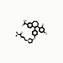 CN(C)C(=O)C=CCN1CC[C@H](Oc2ccc(C3=C(c4ccc(Cl)cc4Cl)CCCc4cc(C(=O)O)ccc43)cc2)C1